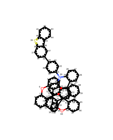 c1ccc2c(c1)Oc1ccccc1C21c2ccccc2-c2ccc(-c3ccccc3N(c3ccc(-c4ccc5sc6ccccc6c5c4)cc3)c3cccc4c3-c3ccccc3C43c4ccccc4Oc4ccccc43)cc21